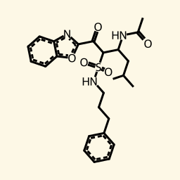 CC(=O)NC(CC(C)C)C(C(=O)c1nc2ccccc2o1)S(=O)(=O)NCCCc1ccccc1